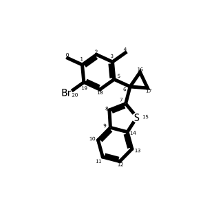 Cc1cc(C)c(C2(c3cc4ccccc4s3)CC2)cc1Br